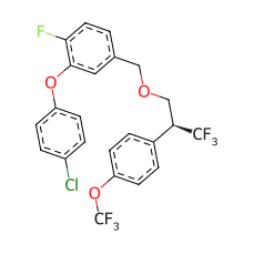 Fc1ccc(COC[C@H](c2ccc(OC(F)(F)F)cc2)C(F)(F)F)cc1Oc1ccc(Cl)cc1